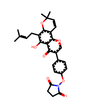 CC(C)=CCc1c2c(c3occ(-c4ccc(ON5C(=O)CCC5=O)cc4)c(=O)c3c1O)C=CC(C)(C)O2